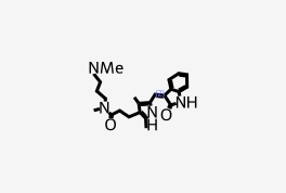 CNCCCCN(C)C(=O)CCc1c(C)[nH]c(/C=C2\C(=O)Nc3ccccc32)c1C